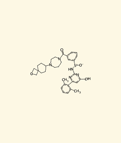 Cc1cccc(C)c1-c1cc(O)nc(N[S+]([O-])c2cccc(C(=O)N3CCCN(C4CCC5(CC4)COC5)CC3)c2)n1